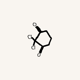 O=C1CCCC(=O)C1(Cl)Cl